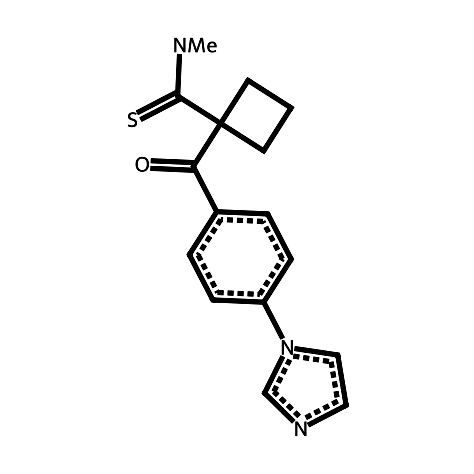 CNC(=S)C1(C(=O)c2ccc(-n3ccnc3)cc2)CCC1